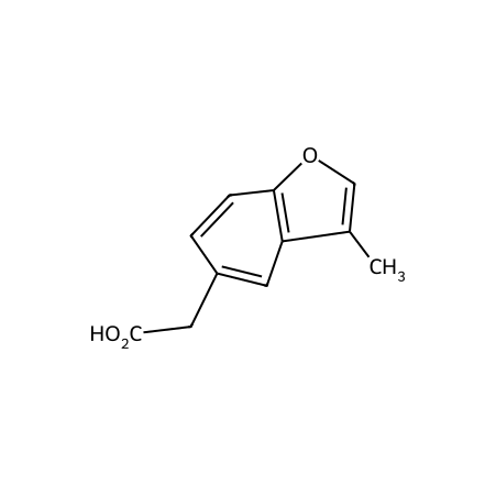 Cc1coc2ccc(CC(=O)O)cc12